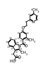 Cc1ccnc(CCOc2ccc(C(=O)n3c(C)c(CC(=O)O)c4ccccc43)c(C)c2)c1